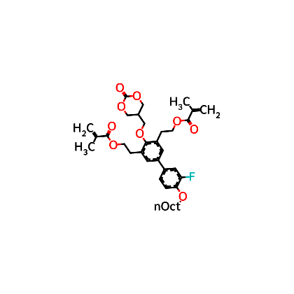 C=C(C)C(=O)OCCc1cc(-c2ccc(OCCCCCCCC)c(F)c2)cc(CCOC(=O)C(=C)C)c1OCC1COC(=O)OC1